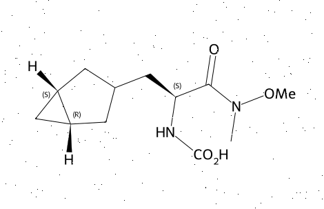 CON(C)C(=O)[C@H](CC1C[C@@H]2C[C@@H]2C1)NC(=O)O